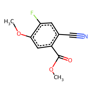 COC(=O)c1cc(OC)c(F)cc1C#N